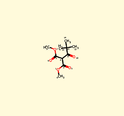 COC(=O)C(C(=O)OC)C(=O)C(C)(C)C